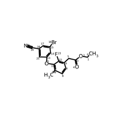 CCOC(=O)Cc1ccc(C)c(Oc2cc(Br)cc(C#N)c2)c1F